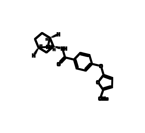 COc1ccc(Oc2ccc(C(=O)N[C@@H]3C[C@H]4CC[C@@H]3N4)cc2)o1